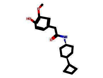 COc1cc(CC(=O)N[C@H]2CC[C@H](C3CCC3)CC2)ccc1O